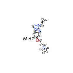 COc1cc2c(cc1OCCCN1CCCC1)nc(NCC1CC1)n2C